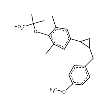 Cc1cc(C2CC2Cc2ccc(OC(F)(F)F)cc2)cc(C)c1OC(C)(C)C(=O)O